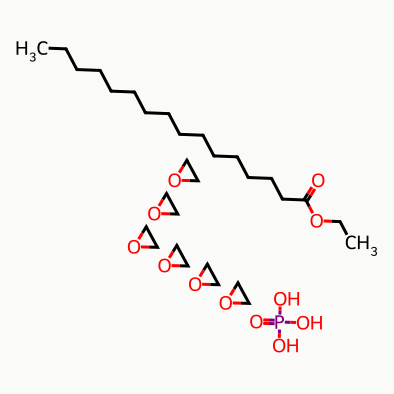 C1CO1.C1CO1.C1CO1.C1CO1.C1CO1.C1CO1.CCCCCCCCCCCCCCCC(=O)OCC.O=P(O)(O)O